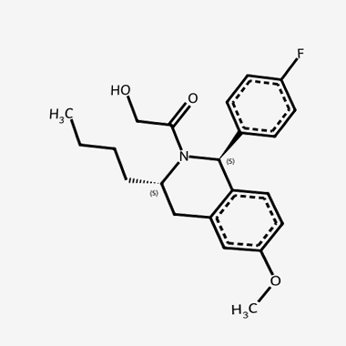 CCCC[C@H]1Cc2cc(OC)ccc2[C@H](c2ccc(F)cc2)N1C(=O)CO